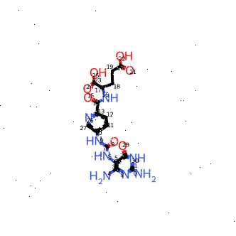 Nc1nc(N)c(NC(=O)Nc2ccc(C(=O)NC(CCC(=O)O)C(=O)O)nc2)c(=O)[nH]1